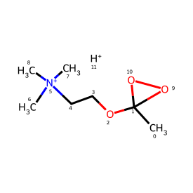 CC1(OCC[N+](C)(C)C)OO1.[H+]